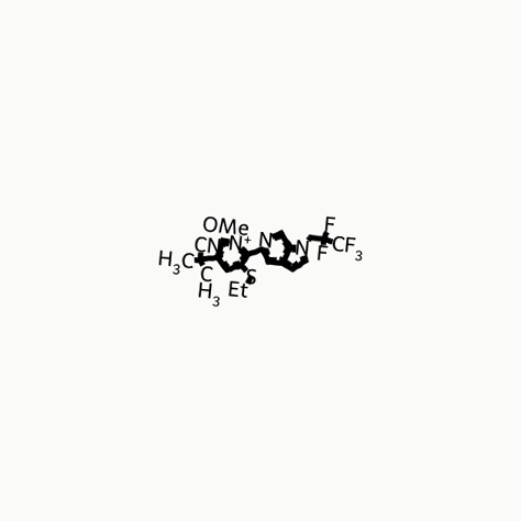 CCSc1cc(C(C)(C)C#N)c[n+](OC)c1-c1cc2ccn(CC(F)(F)C(F)(F)F)c2cn1